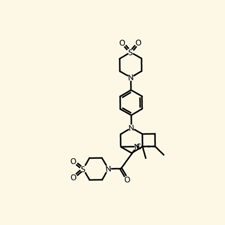 CC12CC3N(c4ccc(N5CCS(=O)(=O)CC5)cc4)CC(CC31C)N(C(=O)N1CCS(=O)(=O)CC1)C2